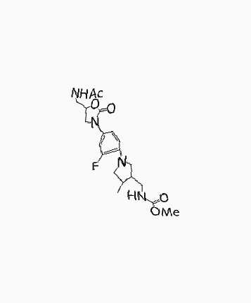 COC(=O)NCC1CN(c2ccc(N3CC(CNC(C)=O)OC3=O)cc2F)CC1C